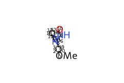 COc1ccc(-c2cc3[nH]c(=O)c4ccccc4n3n2)cc1